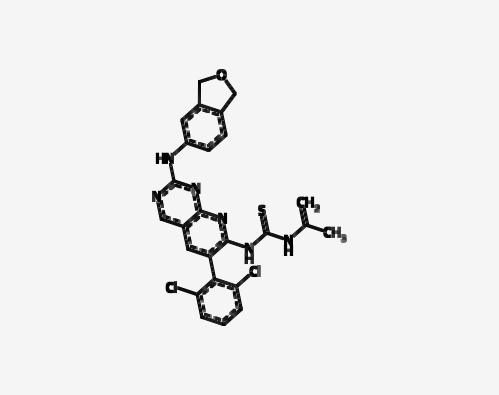 C=C(C)NC(=S)Nc1nc2nc(Nc3ccc4c(c3)COC4)ncc2cc1-c1c(Cl)cccc1Cl